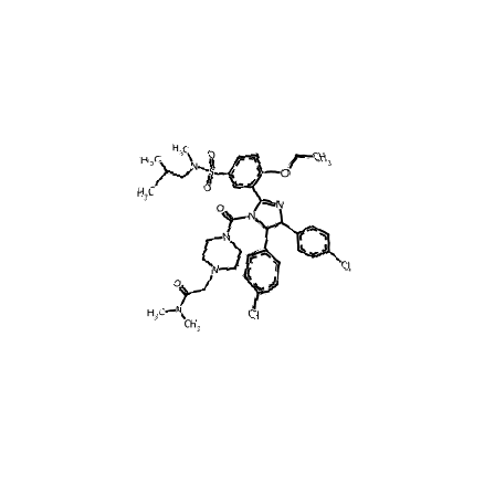 CCOc1ccc(S(=O)(=O)N(C)CC(C)C)cc1C1=NC(c2ccc(Cl)cc2)C(c2ccc(Cl)cc2)N1C(=O)N1CCN(CC(=O)N(C)C)CC1